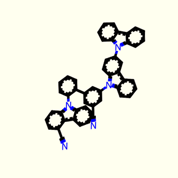 N#Cc1cc(-c2ccccc2-n2c3ccccc3c3c(C#N)cccc32)cc(-n2c3ccccc3c3cc(-n4c5ccccc5c5ccccc54)ccc32)c1